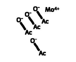 CC(=O)[O-].CC(=O)[O-].CC(=O)[O-].CC(=O)[O-].[Mo+4]